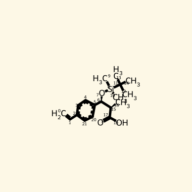 C=Cc1ccc([C@@H](O[Si](C)(C)C(C)(C)C)[C@@H](C)C(=O)O)cc1